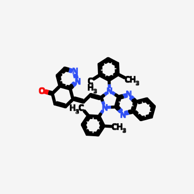 Cc1cccc(C)c1N1C(=C/C=C2/C=CC(=O)c3ccnnc32)N(c2c(C)cccc2C)c2nc3ccccc3nc21